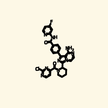 Nc1nccn2c(C3CCCCN3C(=O)c3ccnc(Cl)n3)nc(-c3ccc(C(=O)Nc4cc(F)ccn4)cc3)c12